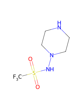 O=S(=O)(NN1CCNCC1)C(F)(F)F